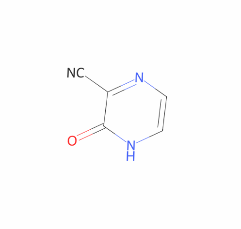 N#Cc1ncc[nH]c1=O